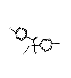 CCC(O)(C(=O)c1ccc(F)cc1)c1ccc(F)cc1